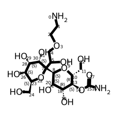 NCCOCC(O)C1([C@H]2O[C@H](CO)[C@@H](OC(N)=O)[C@H](O)[C@@H]2O)O[C@@H](CO)[C@@H](O)[C@H](O)[C@@H]1O